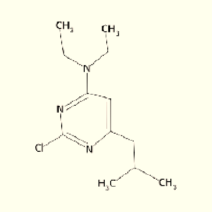 CCN(CC)c1cc(CC(C)C)nc(Cl)n1